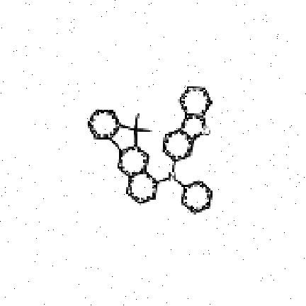 CC1(C)c2ccccc2-c2cc3cccc(N(c4ccccc4)c4ccc5c(c4)oc4ccccc45)c3cc21